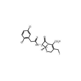 O=C(O)C1=C(CI)CS[C@@H]2[C@H](NC(=S)Cc3cc(Cl)ccc3Cl)C(=O)N12